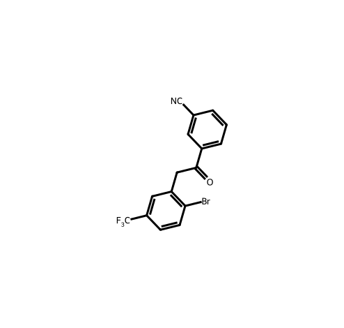 N#Cc1cccc(C(=O)Cc2cc(C(F)(F)F)ccc2Br)c1